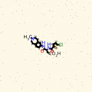 CN1CCc2ccc(NC(=O)C(CC(=O)O)NC(=O)c3ccc(Cl)s3)cc2CC1